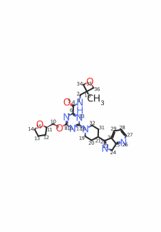 CC1(CNC(=O)c2nc(OC[C@H]3CCCO3)nc(N3CCC(C4=NCc5ncccc54)CC3)n2)COC1